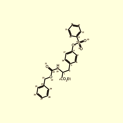 CCOC(=O)C(Cc1ccc(OS(=O)(=O)c2ccccc2)cc1)NC(=O)OCc1ccccc1